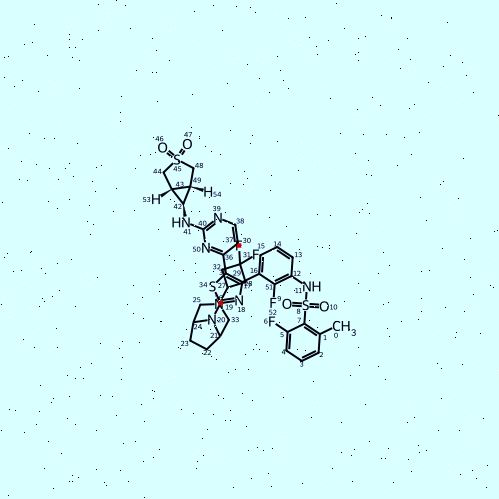 Cc1cccc(F)c1S(=O)(=O)Nc1cccc(-c2nc(N3C4CCC3CN(C3CC(F)(F)C3)C4)sc2-c2ccnc(N[C@H]3[C@@H]4CS(=O)(=O)C[C@@H]43)n2)c1F